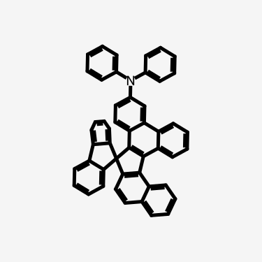 c1ccc(N(c2ccccc2)c2ccc3c4c(c5ccccc5c3c2)-c2c(ccc3ccccc23)C42c3ccccc3-c3ccccc32)cc1